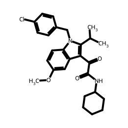 COc1ccc2c(c1)c(C(=O)C(=O)NC1CCCCC1)c(C(C)C)n2Cc1ccc(Cl)cc1